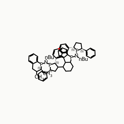 CCCCN(P1c2ccccc2C2C(C3C[C@@H](c4ccccc4)P(N(CCCC)P4c5ccccc5CC(C)[C@@H]4C)[C@@H]3c3ccccc3)CCCC21)P1[C@H](c2ccccc2)CC[C@H]1c1ccccc1